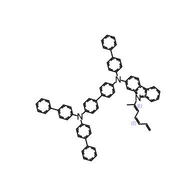 C=C/C=C\C=C(/C)n1c2ccccc2c2ccc(N(c3ccc(-c4ccccc4)cc3)c3ccc(-c4ccc(N(c5ccc(-c6ccccc6)cc5)c5ccc(-c6ccccc6)cc5)cc4)cc3)cc21